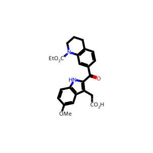 CCOC(=O)N1CCCc2ccc(C(=O)c3[nH]c4ccc(OC)cc4c3CC(=O)O)cc21